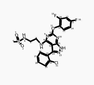 CS(=O)(=O)NCCNc1nc(Oc2ccc(F)cc2F)nc2[nH]nc(-c3ccccc3Cl)c12